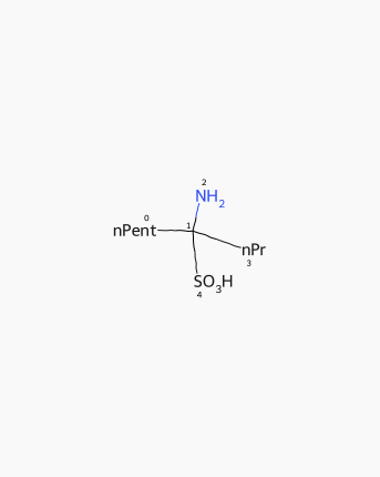 CCCCCC(N)(CCC)S(=O)(=O)O